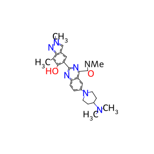 CNC(=O)c1nc(-c2cc3cn(C)nc3c(C)c2O)nc2ccc(N3CCC(N(C)C)CC3)cc12